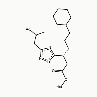 CC(=O)N(C)Cc1noc([C@H](CCCC2CCCCC2)CC(=O)OC(C)(C)C)n1